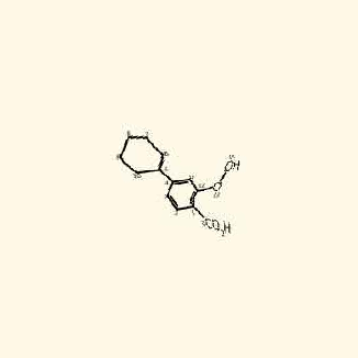 O=C(O)c1ccc(C2CCCCC2)cc1OO